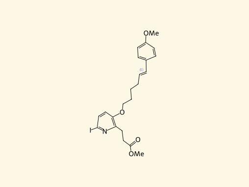 COC(=O)CCc1nc(I)ccc1OCCCC/C=C/c1ccc(OC)cc1